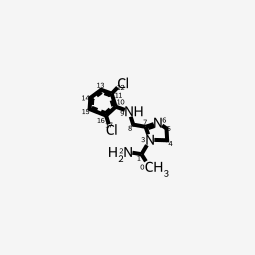 CC(N)N1CCN=C1CNc1c(Cl)cccc1Cl